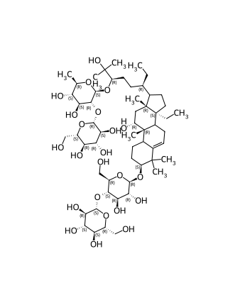 CC[C@H](CC[C@@H](O[C@@H]1O[C@H](C)[C@@H](O)[C@H](O)[C@H]1O[C@H]1O[C@@H](CO)[C@H](O)[C@@H](O)[C@@H]1O)C(C)(C)O)C1CC[C@@]2(CC)C3CC=C4C(CC[C@H](O[C@@H]5O[C@H](CO)[C@@H](O[C@@H]6O[C@H](CO)[C@@H](O)[C@H](O)[C@H]6O)[C@H](O)[C@H]5O)C4(C)C)[C@]3(C)[C@H](O)C[C@]12C